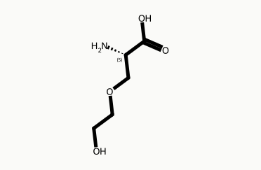 N[C@@H](COCCO)C(=O)O